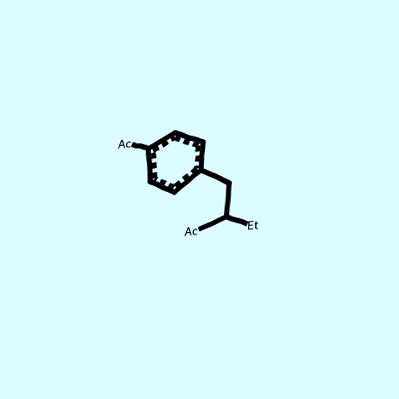 CCC(Cc1ccc(C(C)=O)cc1)C(C)=O